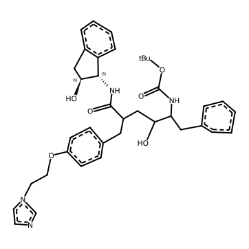 CC(C)(C)OC(=O)NC(Cc1ccccc1)C(O)CC(Cc1ccc(OCCn2ccnc2)cc1)C(=O)N[C@H]1c2ccccc2C[C@@H]1O